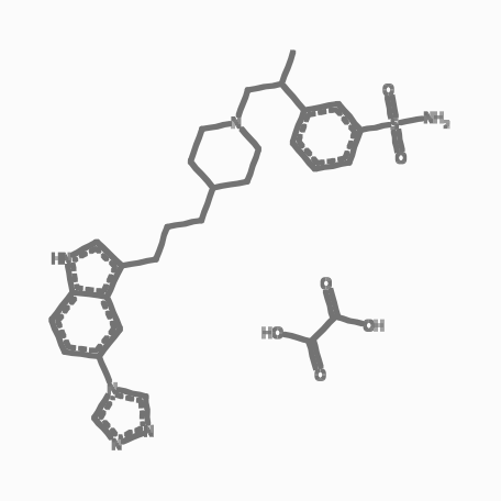 CC(CN1CCC(CCCc2c[nH]c3ccc(-n4cnnc4)cc23)CC1)c1cccc(S(N)(=O)=O)c1.O=C(O)C(=O)O